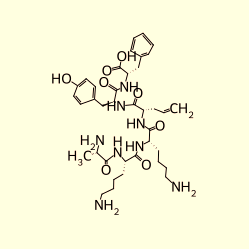 C=CC[C@H](NC(=O)[C@H](CCCCN)NC(=O)[C@H](CCCCN)NC(=O)[C@H](C)N)C(=O)N[C@@H](Cc1ccc(O)cc1)C(=O)N[C@@H](Cc1ccccc1)C(=O)O